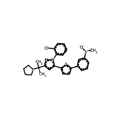 C[S+]([O-])c1cccc(-c2ccc(-c3cc(C(C)(C)N4CCCC4)nn3-c3ccccc3Cl)s2)c1